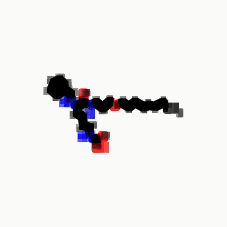 CCCCCCCCOCCCNC(=O)C(CCCCNC(=O)O)NCc1ccccc1